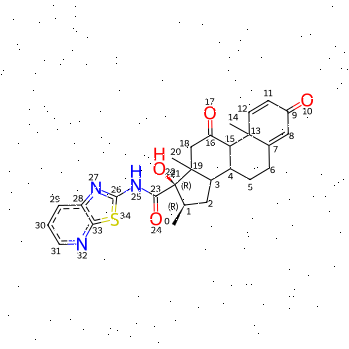 C[C@@H]1CC2C3CCC4=CC(=O)C=CC4(C)C3C(=O)CC2(C)[C@@]1(O)C(=O)Nc1nc2cccnc2s1